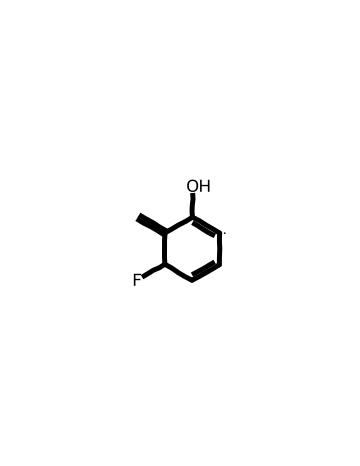 C=C1C(O)=[C]C=CC1F